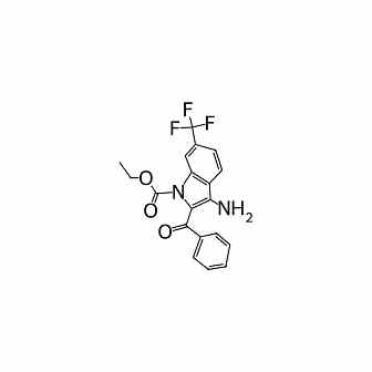 CCOC(=O)n1c(C(=O)c2ccccc2)c(N)c2ccc(C(F)(F)F)cc21